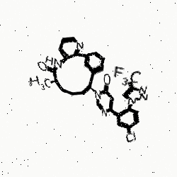 C[C@@H]1CCC[C@H](n2cnc(-c3cc(Cl)ccc3-n3cc(C(F)(F)F)nn3)cc2=O)c2cccc(c2)-c2ncccc2NC1=O